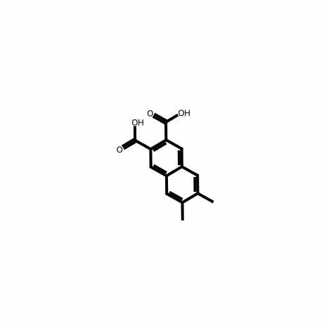 Cc1cc2cc(C(=O)O)c(C(=O)O)cc2cc1C